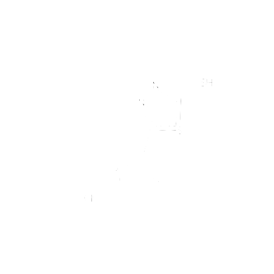 Sc1nnc(-c2ccc(Cl)s2)s1